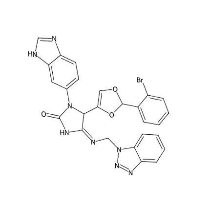 O=C1NC(=NCn2nnc3ccccc32)C(C2=COC(c3ccccc3Br)O2)N1c1ccc2nc[nH]c2c1